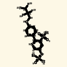 CCS(=O)(=O)c1cc(N=S(=O)(CC)CC)cnc1-c1ccc(OCC(F)(F)C(F)F)cn1